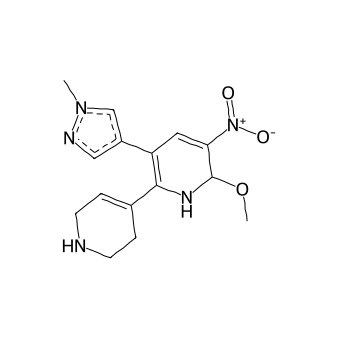 COC1NC(C2=CCNCC2)=C(c2cnn(C)c2)C=C1[N+](=O)[O-]